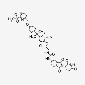 CC(C)(c1ccc(OCc2ccnc(S(C)(=O)=O)n2)cc1)c1cc(Cl)c(OCCNC(=O)Nc2ccc3c(c2)C(=O)N(C2CCC(=O)NC2=O)C3=O)c(C#N)c1